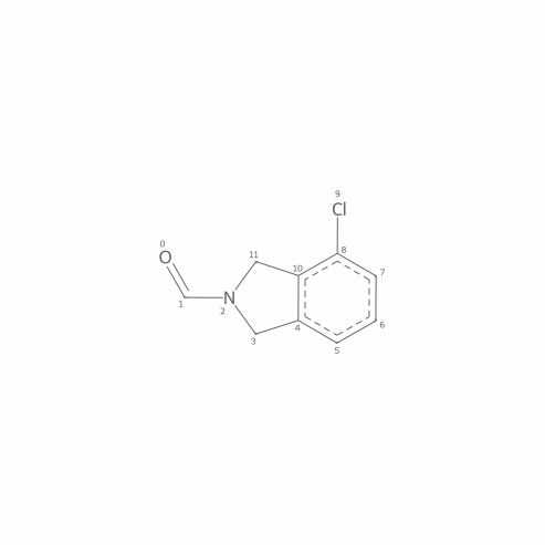 O=CN1Cc2cccc(Cl)c2C1